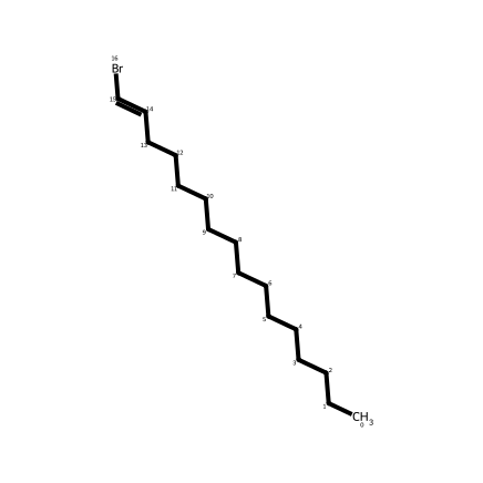 CCCCCCCCCCCCCCC=CBr